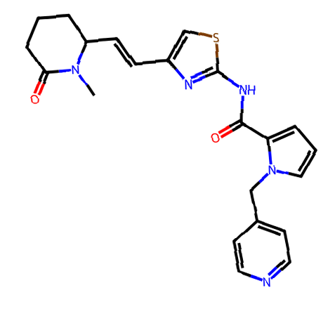 CN1C(=O)CCCC1C=Cc1csc(NC(=O)c2cccn2Cc2ccncc2)n1